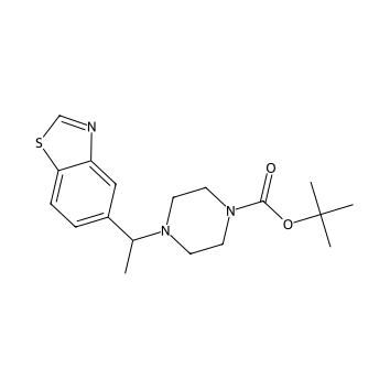 CC(c1ccc2scnc2c1)N1CCN(C(=O)OC(C)(C)C)CC1